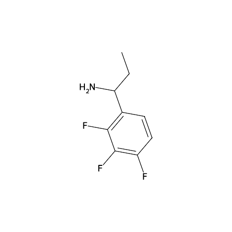 CCC(N)c1ccc(F)c(F)c1F